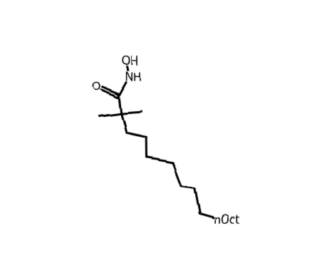 CCCCCCCCCCCCCCCC(C)(C)C(=O)NO